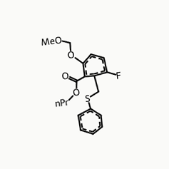 CCCOC(=O)c1c(OCOC)ccc(F)c1CSc1ccccc1